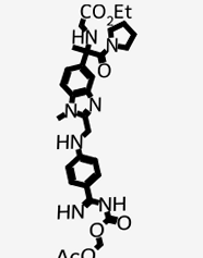 CCOC(=O)CNC(C)(C(=O)N1CCCC1)c1ccc2c(c1)nc(CNc1ccc(C(=N)NC(=O)OCOC(C)=O)cc1)n2C